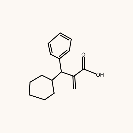 C=C(C(=O)O)C(c1ccccc1)C1CCCCC1